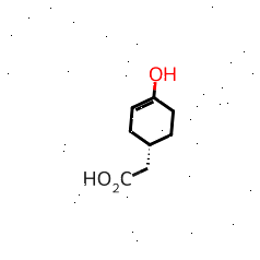 O=C(O)C[C@@H]1CC=C(O)CC1